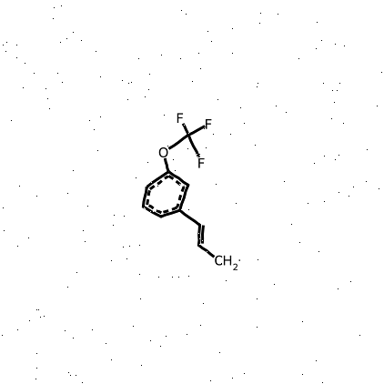 [CH2]C=Cc1cccc(OC(F)(F)F)c1